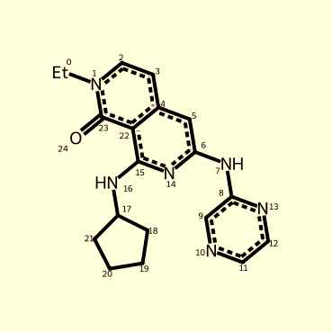 CCn1ccc2cc(Nc3cnccn3)nc(NC3CCCC3)c2c1=O